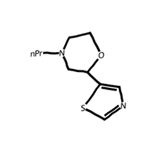 CCCN1CCOC(c2cncs2)C1